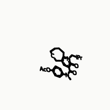 CC(=O)Oc1ccc(N(C)C(=O)c2cc3c(n(CC(C)C)c2=O)CCCCCC3)cc1